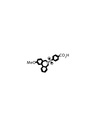 COc1ccc2c(c1)C1C=CC=CC1CN(S(=O)(=O)c1ccc(C(=O)O)cc1)C2